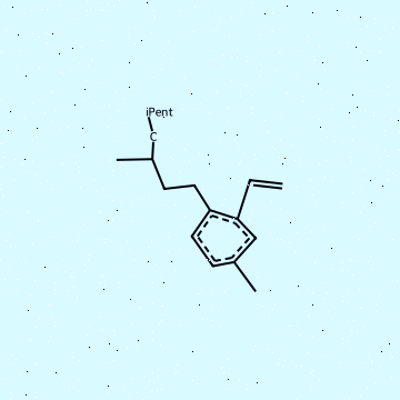 C=Cc1cc(C)ccc1CCC(C)CC(C)CCC